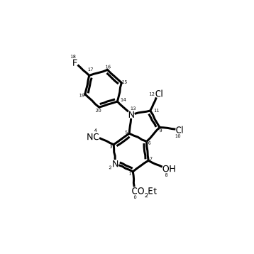 CCOC(=O)c1nc(C#N)c2c(c1O)c(Cl)c(Cl)n2-c1ccc(F)cc1